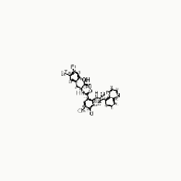 O=C(N[C@@H](Cc1ccc(F)c(Br)c1)C(=O)O)c1cc(Cl)c(Cl)cc1NS(=O)(=O)c1cccc2nccnc12